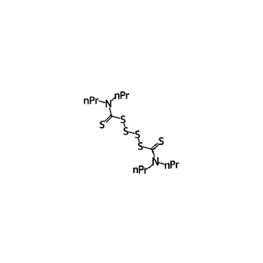 CCCN(CCC)C(=S)SSSSC(=S)N(CCC)CCC